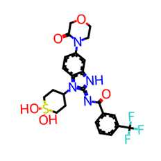 O=C(/N=c1\[nH]c2cc(N3CCOCC3=O)ccc2n1C1CCS(O)(O)CC1)c1cccc(C(F)(F)F)c1